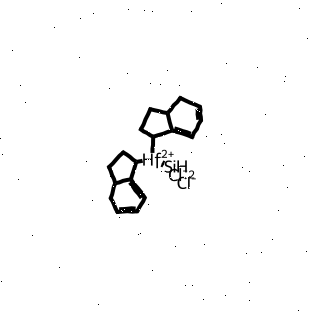 [Cl-].[Cl-].[SiH2]=[Hf+2]([CH]1CCC2CC=CC=C21)[CH]1CCC2CC=CC=C21